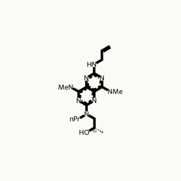 C=CCNc1nc(NC)c2nc(N(CCC)C[C@H](C)O)nc(NC)c2n1